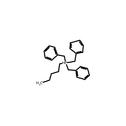 CCCCC[PH](Cc1ccccc1)(Cc1ccccc1)Cc1ccccc1